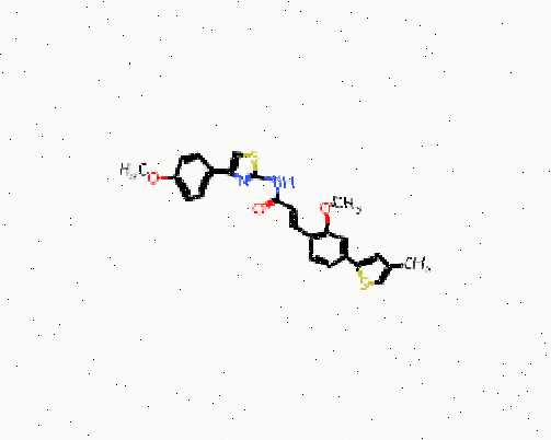 COc1ccc(-c2csc(NC(=O)C=Cc3ccc(-c4cc(C)cs4)cc3OC)n2)cc1